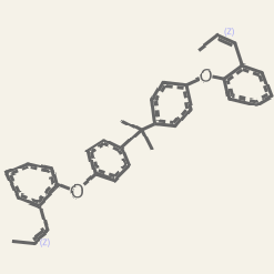 C/C=C\c1ccccc1Oc1ccc(C(C)(C)c2ccc(Oc3ccccc3/C=C\C)cc2)cc1